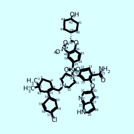 CC1(C)CCC(CN2CC[N+](c3ccc(C(N)=O)c(Oc4cnc5[nH]ccc5c4)c3)(S(=O)(=O)c3ccc(OC[C@H]4CC[C@H](O)CC4)c([N+](=O)[O-])c3)CC2)=C(c2ccc(Cl)cc2)C1